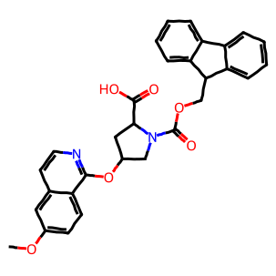 COc1ccc2c(OC3CC(C(=O)O)N(C(=O)OCC4c5ccccc5-c5ccccc54)C3)nccc2c1